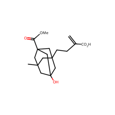 C=C(CCC12CC3(C)CC(O)(C1)CC(C(=O)OC)(C3)C2)C(=O)O